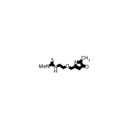 CNC(=S)NCCOCC1=CC(=O)C(C)=N1